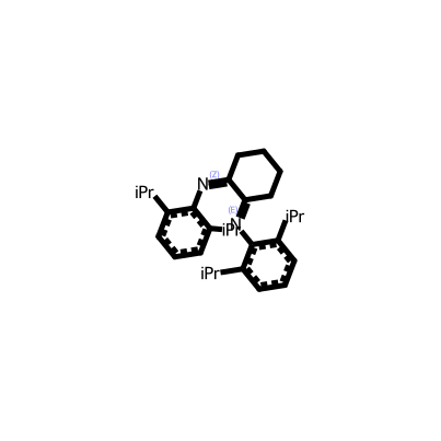 CC(C)c1cccc(C(C)C)c1/N=C1/CCCC/C1=N\c1c(C(C)C)cccc1C(C)C